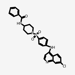 O=C(NC1CCN(S(=O)(=O)c2ccc(Nc3ccnc4cc(Cl)ccc34)cc2)CC1)c1ccccc1